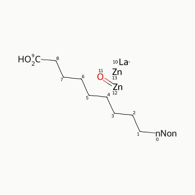 CCCCCCCCCCCCCCCCCC(=O)O.[La].[O]=[Zn].[Zn]